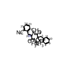 CN1C(=O)C(Cc2ccccc2)(C(=O)C(F)(F)F)N(C)C(=O)/C1=C/c1ccccc1C#N